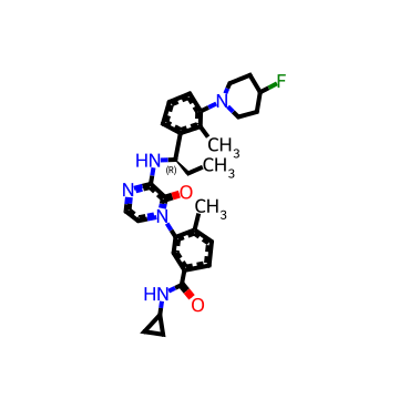 CC[C@@H](Nc1nccn(-c2cc(C(=O)NC3CC3)ccc2C)c1=O)c1cccc(N2CCC(F)CC2)c1C